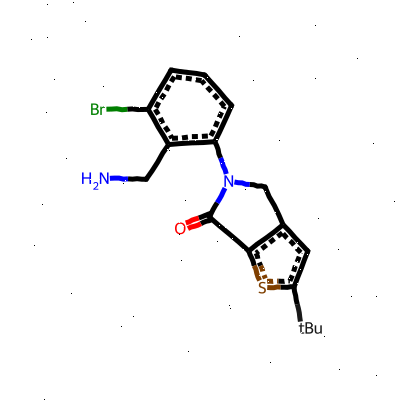 CC(C)(C)c1cc2c(s1)C(=O)N(c1cccc(Br)c1CN)C2